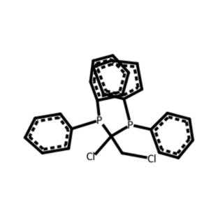 ClCC(Cl)(P(c1ccccc1)c1ccccc1)P(c1ccccc1)c1ccccc1